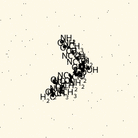 C=C(C)C#N.C=C(C)C(=O)NC(N)=O.C=C(C)C(=O)OCCO.C=C(C)C(N)=O.C=C(CC#N)C(N)=O.C=C(Cl)C#N.C=CC#N.O=C1C=CC(=O)N1CO.O=C1C=CC(=O)O1